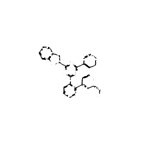 C\C=C/C=C(\C=C/CCC)c1ccccc1-c1nc(C2=CCCC=C2)nc(C2Cc3ccccc3O2)n1